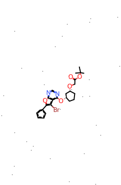 CC(C)(C)OC(=O)CO[C@@H]1CCC[C@H](Oc2ncnc3oc(-c4ccccc4)c(Br)c23)C1